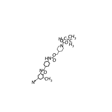 Cc1cc(C#N)cc2nc(-c3ccc(NC(=O)OCC4CCN(C(=O)OC(C)(C)C)CC4)cc3)oc12